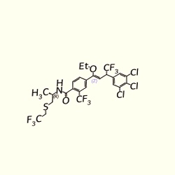 CCO/C(=C\C(c1cc(Cl)c(Cl)c(Cl)c1)C(F)(F)F)c1ccc(C(=O)N[C@H](C)CSCC(F)(F)F)c(C(F)(F)F)c1